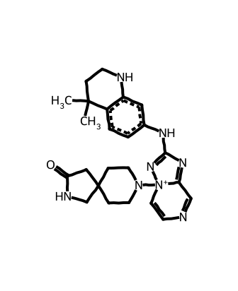 CC1(C)CCNc2cc(NC3=N[N+]4(N5CCC6(CC5)CNC(=O)C6)C=CN=CC4=N3)ccc21